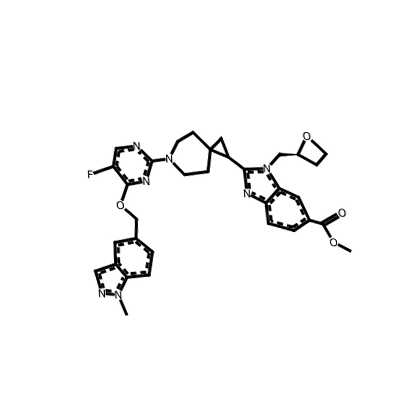 COC(=O)c1ccc2nc(C3CC34CCN(c3ncc(F)c(OCc5ccc6c(cnn6C)c5)n3)CC4)n(C[C@@H]3CCO3)c2c1